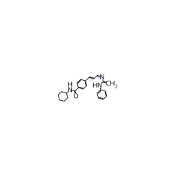 C=C(/N=C\C=C\c1ccc(C(=O)NC2CCCCC2)cc1)Nc1ccccc1